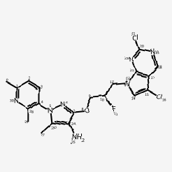 Cc1ccc(-n2nc(OC[C@H](F)Cn3cc(Cl)c4cnc(Cl)nc43)c(N)c2C)c(C)n1